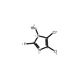 CC(C)(C)n1c(F)nc(Cl)c1Cl